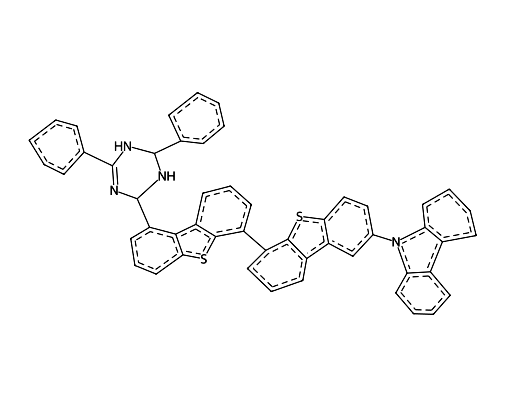 c1ccc(C2=NC(c3cccc4sc5c(-c6cccc7c6sc6ccc(-n8c9ccccc9c9ccccc98)cc67)cccc5c34)NC(c3ccccc3)N2)cc1